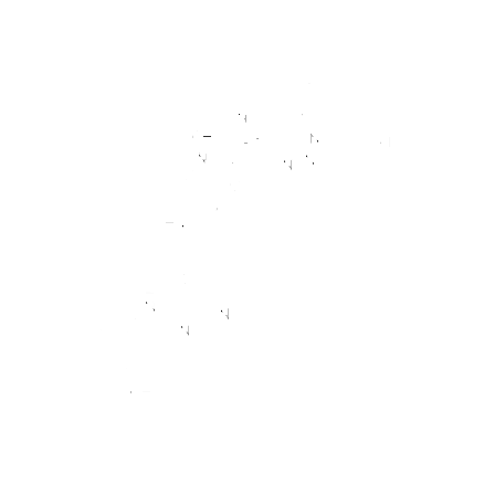 Cc1cccc(Nc2ncnc3ccc(NC(=O)CN(C)C(=O)C4=C5N=NN(CCCl)C(=O)C5C=N4)cc23)c1